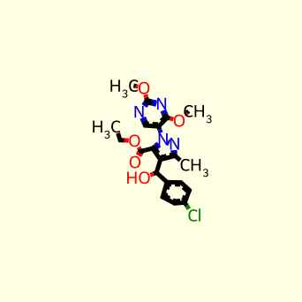 CCOC(=O)c1c(C(O)c2ccc(Cl)cc2)c(C)nn1-c1cnc(OC)nc1OC